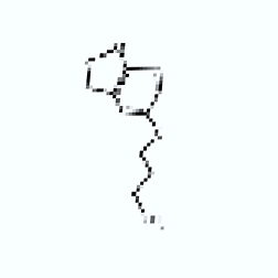 CCCCOc1ccc2c(c1)[CH]CO2